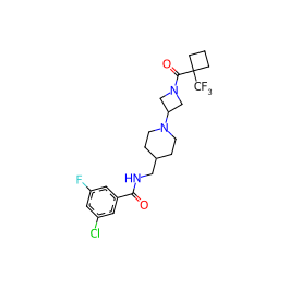 O=C(NCC1CCN(C2CN(C(=O)C3(C(F)(F)F)CCC3)C2)CC1)c1cc(F)cc(Cl)c1